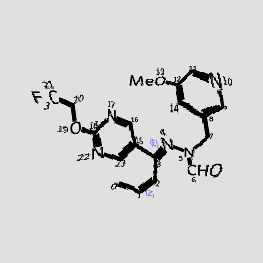 C/C=C\C(=N/N(C=O)Cc1cncc(OC)c1)c1cnc(OCC(F)(F)F)nc1